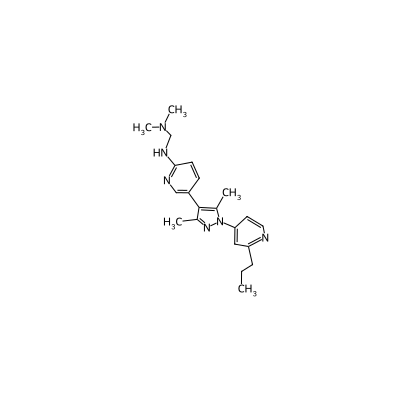 CCCc1cc(-n2nc(C)c(-c3ccc(NCN(C)C)nc3)c2C)ccn1